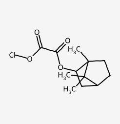 CC1(C)C2CCC1(C)C(OC(=O)C(=O)OCl)C2